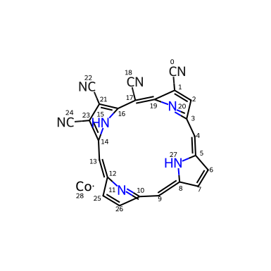 N#CC1=Cc2cc3ccc(cc4nc(cc5[nH]c(c(C#N)c1n2)c(C#N)c5C#N)C=C4)[nH]3.[Co]